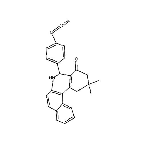 C=[N+]=Nc1ccc(C2Nc3ccc4ccccc4c3C3=C2C(=O)CC(C)(C)C3)cc1